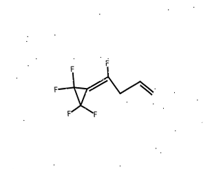 C=CCC(F)=C1C(F)(F)C1(F)F